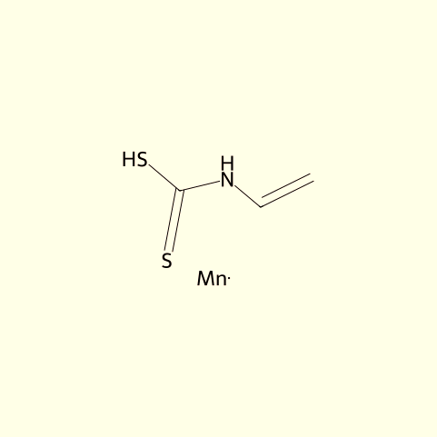 C=CNC(=S)S.[Mn]